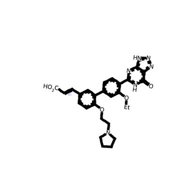 CCOc1cc(-c2cc(/C=C/C(=O)O)ccc2OCCN2CCCC2)ccc1-c1nc2[nH]nnc2c(=O)[nH]1